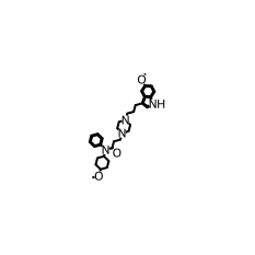 COc1ccc2[nH]cc(CCCN3CCN(CCC(=O)N(c4ccccc4)C4CCC(OC)CC4)CC3)c2c1